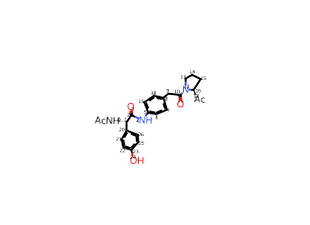 CC(=O)N[C@H](C(=O)Nc1ccc(CC(=O)N2CCC[C@H]2C(C)=O)cc1)c1ccc(O)cc1